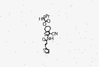 CCCNC(=O)OC1CCc2c(sc(NC(=O)C=Cc3cccs3)c2C#N)C1